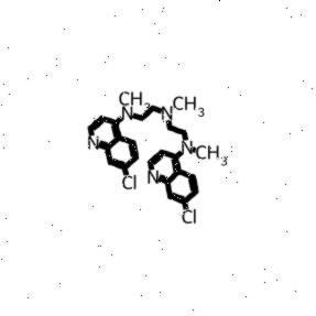 CN(CCN(C)c1ccnc2cc(Cl)ccc12)CCN(C)c1ccnc2cc(Cl)ccc12